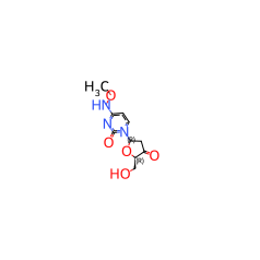 CONc1ccn([C@H]2CC(=O)[C@@H](CO)O2)c(=O)n1